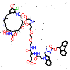 COc1cc2cc(c1Cl)N(C)C(=O)C[C@H](OC(=O)[C@H](C)N(C)C(=O)CCOCCOCCNC(=O)[C@H](CCC(=O)O)NC(=O)CCn1c(CN(C)N(C)C(=O)OCC3c4ccccc4-c4ccccc43)cc3ccccc31)[C@]1(C)OC1[C@H](C)[C@@H]1C[C@@](O)(NC(=O)O1)[C@H](OC)/C=C/C=C(\C)C2